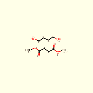 COC(=O)CCC(=O)OC.OCCCCO